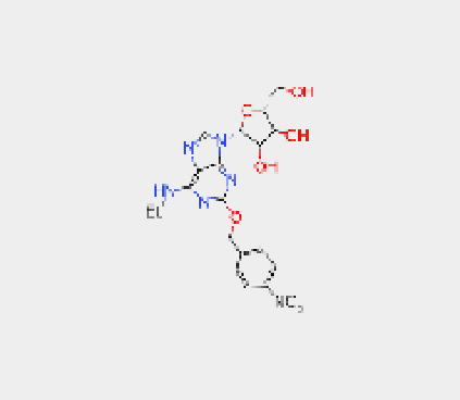 CCNc1nc(OCc2ccc([N+](=O)[O-])cc2)nc2c1ncn2[C@@H]1O[C@H](CO)[C@@H](O)[C@H]1O